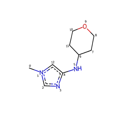 Cn1cnc(NC2CCOCC2)c1